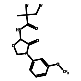 CC(Br)(CBr)C(=O)NC1OCN(c2cccc(OC(F)(F)F)c2)C1=O